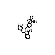 Cc1cc(CC2c3ccccc3C(=O)N2Cc2ccc3[nH]c(=O)oc3c2)ccn1